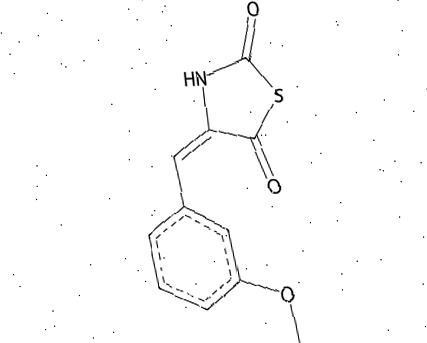 COc1cccc(C=C2NC(=O)SC2=O)c1